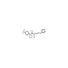 O=C(NCCCCc1ccccc1)NC1CCC(F)(F)CC1